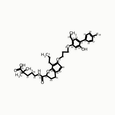 CCCc1c(OCCCOc2cc(O)c(-c3ccc(F)cc3)cc2CC)ccc2c1OC(C(=O)NCCCC(C)(C)C(=O)O)CC2